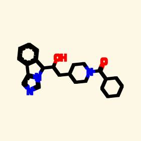 O=C(C1CCCCC1)N1CCC(CC(O)C2c3ccccc3-c3cncn32)CC1